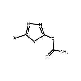 NC(=O)Oc1nnc(Br)s1